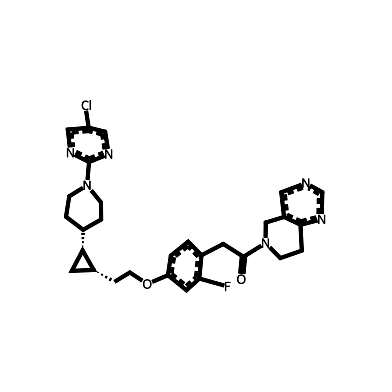 O=C(Cc1ccc(OCC[C@@H]2C[C@@H]2C2CCN(c3ncc(Cl)cn3)CC2)cc1F)N1CCc2ncncc2C1